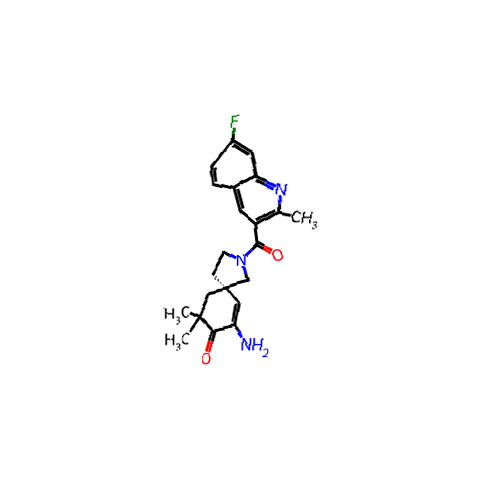 Cc1nc2cc(F)ccc2cc1C(=O)N1CC[C@@]2(C=C(N)C(=O)C(C)(C)C2)C1